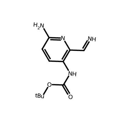 CC(C)(C)OC(=O)Nc1ccc(N)nc1C=N